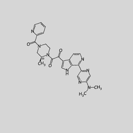 C[C@H]1CN(C(=O)c2ccccn2)CCN1C(=O)C(=O)c1c[nH]c2c(-c3cnc(N(C)C)cn3)nccc12